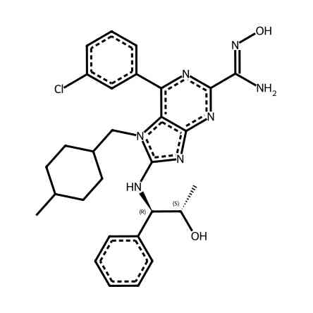 CC1CCC(Cn2c(N[C@H](c3ccccc3)[C@H](C)O)nc3nc(C(N)=NO)nc(-c4cccc(Cl)c4)c32)CC1